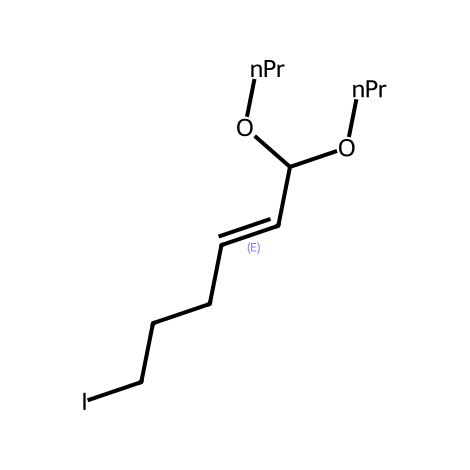 CCCOC(/C=C/CCCI)OCCC